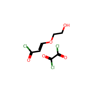 O=C(Cl)C(=O)Cl.O=C(Cl)C=COCCO